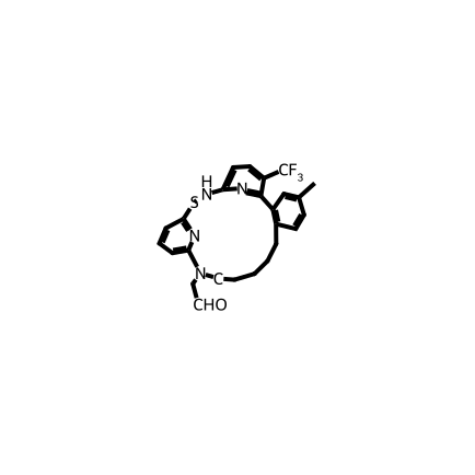 Cc1ccc2c(c1)-c1nc(ccc1C(F)(F)F)NSc1cccc(n1)N(CC=O)CCCCC2